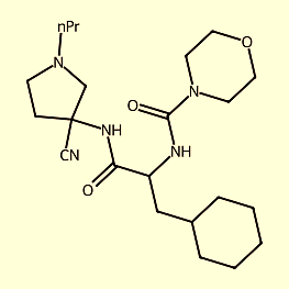 CCCN1CCC(C#N)(NC(=O)C(CC2CCCCC2)NC(=O)N2CCOCC2)C1